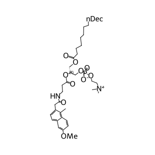 CCCCCCCCCCCCCCCCCC(=O)OC[C@H](COP(=O)([O-])OCC[N+](C)(C)C)OC(=O)CCNC(=O)Cc1ccc2cc(OC)ccc2c1C